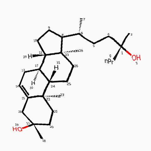 CCC[C@@](C)(O)CC[C@@H](C)C1CC[C@H]2[C@@H]3CC=C4C[C@@](C)(O)CC[C@]4(C)[C@H]3CC[C@]12C